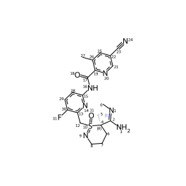 C/N=C(/N)[C@@]1(C)CCCN=S1(=O)Cc1nc(NC(=O)c2ncc(C#N)cc2C)ccc1F